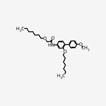 CCCCCCCOCC(=O)Nc1ccc(-c2ccc(OC)cc2)c(OCCCCCCC)c1